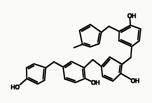 Cc1ccc(Cc2cc(Cc3cc(Cc4cc(Cc5ccc(O)cc5)ccc4O)ccc3O)ccc2O)cc1